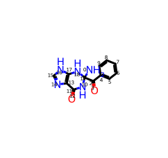 NC1(C(=O)c2ccccc2)NC(=O)c2nc[nH]c2N1